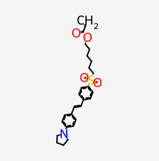 C=CC(=O)OCCCCCCS(=O)(=O)c1ccc(C=Cc2ccc(N3CCCC3)cc2)cc1